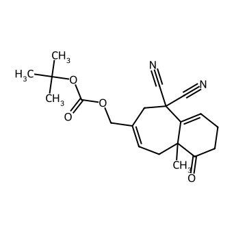 CC(C)(C)OC(=O)OCC1=CCC2(C)C(=O)CCC=C2C(C#N)(C#N)C1